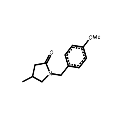 COc1ccc(CN2CC(C)CC2=O)cc1